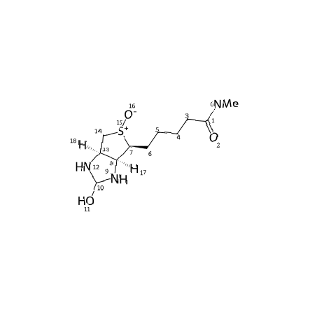 CNC(=O)CCCC[C@H]1[C@H]2NC(O)N[C@H]2C[S+]1[O-]